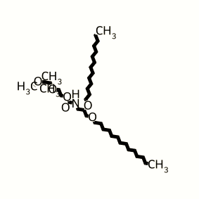 CCCCCCCCCCCCCCOCC(CNC(=O)OCCOCC(C)(C)OC)OCCCCCCCCCCCCCC